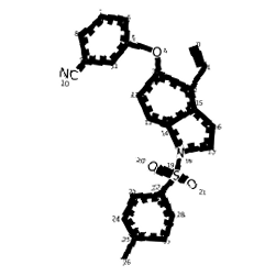 C=Cc1c(Oc2cccc(C#N)c2)ccc2c1ccn2S(=O)(=O)c1ccc(C)cc1